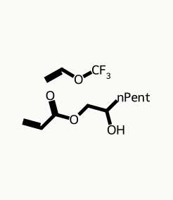 C=CC(=O)OCC(O)CCCCC.C=COC(F)(F)F